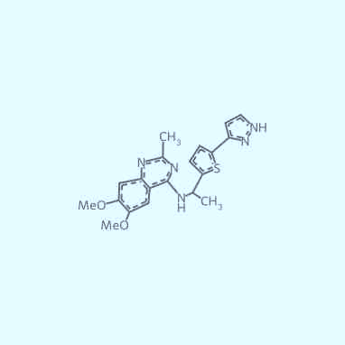 COc1cc2nc(C)nc(NC(C)c3ccc(-c4cc[nH]n4)s3)c2cc1OC